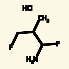 CC(CF)C(N)F.Cl